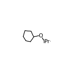 C[C](C)OC1CCCCC1